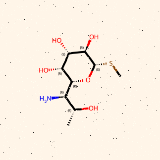 CS[C@@H]1O[C@H]([C@H](N)[C@@H](C)O)[C@H](O)[C@H](O)[C@H]1O